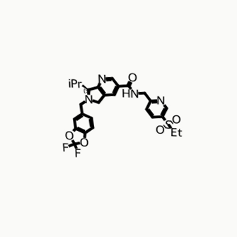 CCS(=O)(=O)c1ccc(CNC(=O)c2cnc3c(c2)CN(Cc2ccc4c(c2)OC(F)(F)O4)[C@H]3C(C)C)nc1